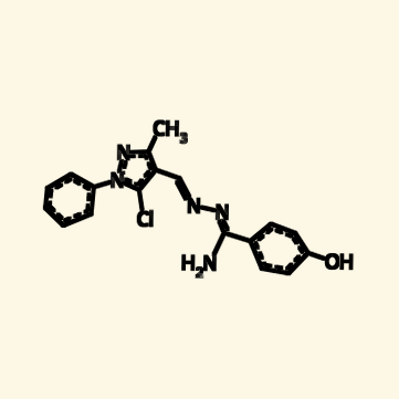 Cc1nn(-c2ccccc2)c(Cl)c1C=NN=C(N)c1ccc(O)cc1